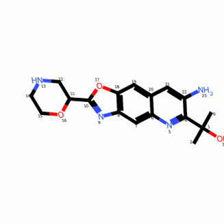 CC(C)(O)c1nc2cc3nc(C4CNCCO4)oc3cc2cc1N